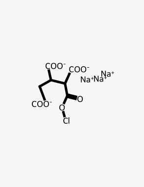 O=C([O-])CC(C(=O)[O-])C(C(=O)[O-])C(=O)OCl.[Na+].[Na+].[Na+]